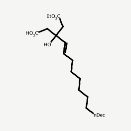 CCCCCCCCCCCCCCCCC=CC(O)(CC(=O)O)CC(=O)OCC